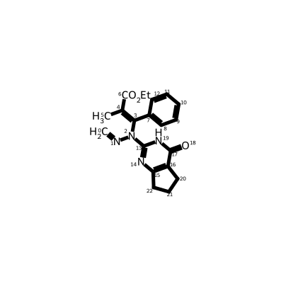 C=NN(/C(=C(\C)C(=O)OCC)c1ccccc1)c1nc2c(c(=O)[nH]1)CCC2